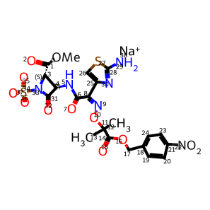 COC(=O)[C@@H]1[C@@H](NC(=O)C(=NOC(C)(C)C(=O)OCc2ccc([N+](=O)[O-])cc2)c2csc(N)n2)C(=O)N1S(=O)(=O)[O-].[Na+]